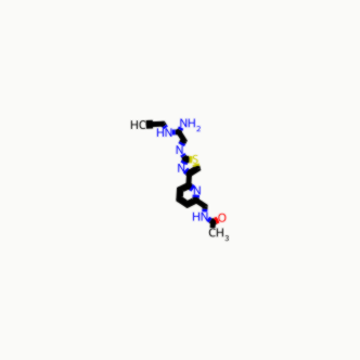 C#CCNC(N)C=Nc1nc(-c2cccc(CNC(C)=O)n2)cs1